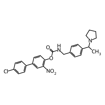 CC(c1ccc(CNC(=O)Oc2ccc(-c3ccc(Cl)cc3)cc2[N+](=O)[O-])cc1)N1CCCC1